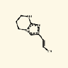 N#C/C=C/c1cn2c(n1)NCCC2